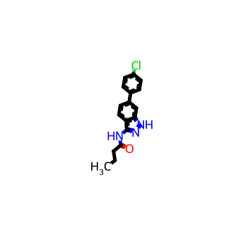 CCCC(=O)Nc1n[nH]c2cc(-c3ccc(Cl)cc3)ccc12